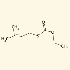 CCOC(=O)SCC=C(C)C